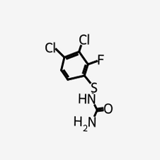 NC(=O)NSc1ccc(Cl)c(Cl)c1F